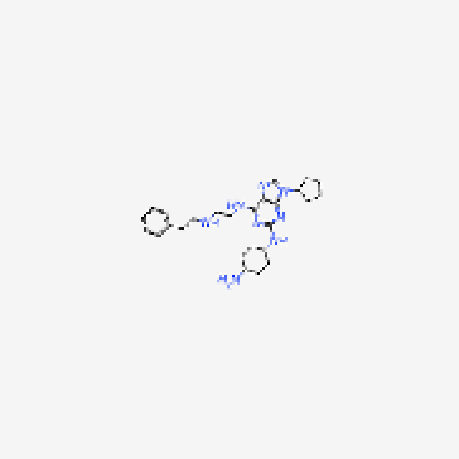 N[C@H]1CC[C@H](Nc2nc(NCCNCCc3ccccc3)c3ncn(C4CCCC4)c3n2)CC1